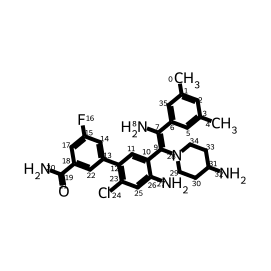 Cc1cc(C)cc(/C(N)=C(/c2cc(-c3cc(F)cc(C(N)=O)c3)c(Cl)cc2N)N2CCC(N)CC2)c1